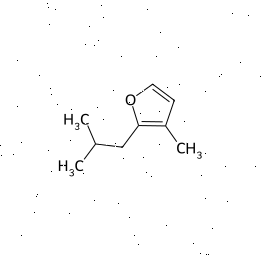 Cc1ccoc1CC(C)C